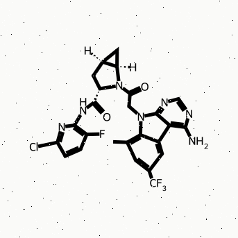 Cc1cc(C(F)(F)F)cc2c3c(N)ncnc3n(CC(=O)N3[C@@H]4C[C@@H]4C[C@H]3C(=O)Nc3nc(Cl)ccc3F)c12